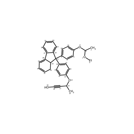 CCOC(C)Oc1ccc(C2(c3ccc(OC(C)C#CO)cc3)c3ccccc3C3=CC=CCC32)cc1